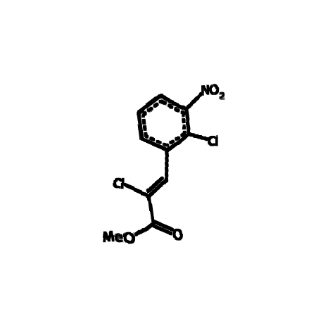 COC(=O)C(Cl)=Cc1cccc([N+](=O)[O-])c1Cl